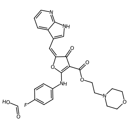 O=C(OCCN1CCOCC1)C1=C(Nc2ccc(F)cc2)OC(=Cc2c[nH]c3ncccc23)C1=O.O=CO